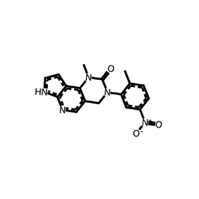 Cc1ccc([N+](=O)[O-])cc1N1Cc2cnc3[nH]ccc3c2N(C)C1=O